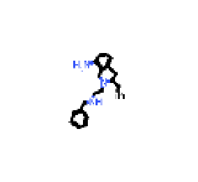 CC(C)CC1Cc2cccc(N)c2CN1CCNCc1ccccc1